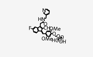 COc1cc(C=C2C(C)=C(CC(=O)NCc3cccnc3)c3cc(F)ccc32)cc(OC)c1OCOP(=O)(O)O